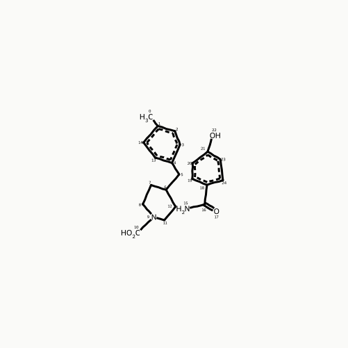 Cc1ccc(CC2CCN(C(=O)O)CC2)cc1.NC(=O)c1ccc(O)cc1